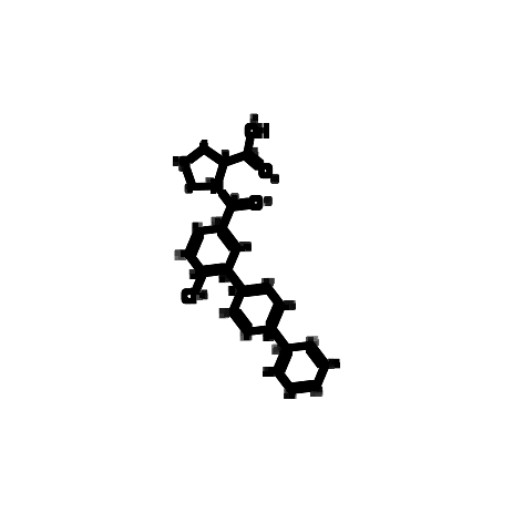 O=C(O)C1CSCN1C(=O)c1ccc(Cl)c(-c2ccc(-c3ccccc3)cc2)c1